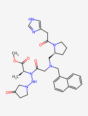 COC(=O)[C@H](C)N(NN1CCC(=O)C1)C(=O)CN(Cc1cccc2ccccc12)C[C@@H]1CCCN1C(=O)Cc1c[nH]cn1